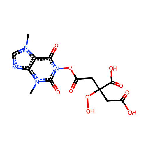 Cn1cnc2c1c(=O)n(OC(=O)CC(CC(=O)O)(OO)C(=O)O)c(=O)n2C